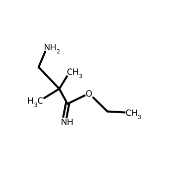 CCOC(=N)C(C)(C)CN